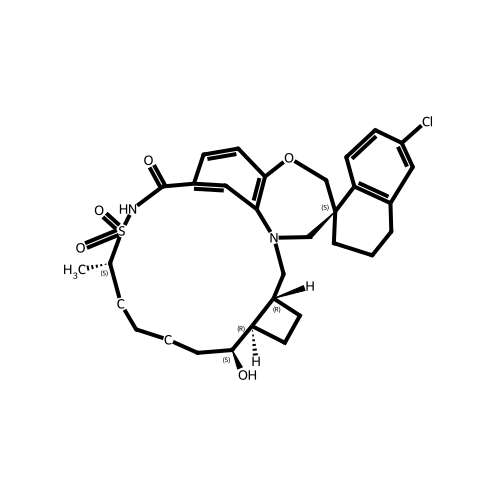 C[C@H]1CCCC[C@H](O)[C@@H]2CC[C@H]2CN2C[C@@]3(CCCc4cc(Cl)ccc43)COc3ccc(cc32)C(=O)NS1(=O)=O